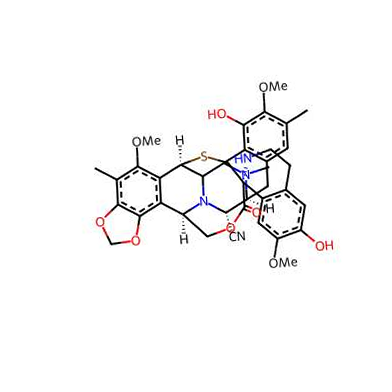 COc1cc2c(cc1O)CCN[C@]21CS[C@@H]2c3c(OC)c(C)c4c(c3[C@H](COC1=O)N1C2C2c3c(cc(C)c(OC)c3O)C[C@@H]([C@@H]1C#N)N2C)OCO4